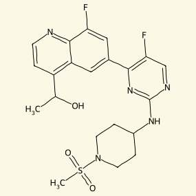 CC(O)c1ccnc2c(F)cc(-c3nc(NC4CCN(S(C)(=O)=O)CC4)ncc3F)cc12